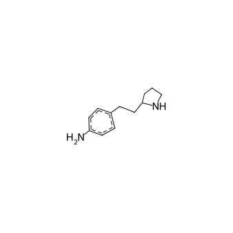 Nc1ccc(CCC2CCCN2)cc1